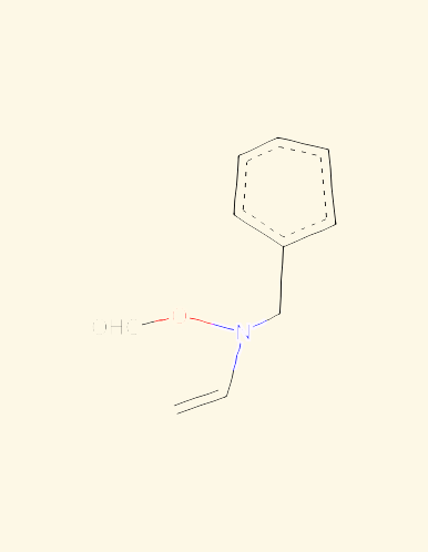 C=CN(Cc1ccccc1)OC=O